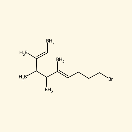 B/C=C(\B)C(B)C(B)/C(B)=C/CCCBr